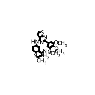 COc1cc(-c2nc(Nc3ccc4nc(C)cc(N)c4c3)c3ccsc3n2)cc(OC)c1OC